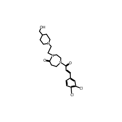 O=C(C=Cc1ccc(Cl)c(Cl)c1)N1CCC(=O)N(CCN2CCC(CO)CC2)CC1